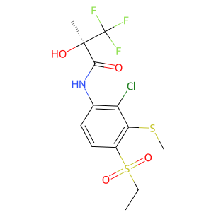 CCS(=O)(=O)c1ccc(NC(=O)[C@@](C)(O)C(F)(F)F)c(Cl)c1SC